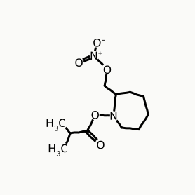 CC(C)C(=O)ON1CCCCCC1CO[N+](=O)[O-]